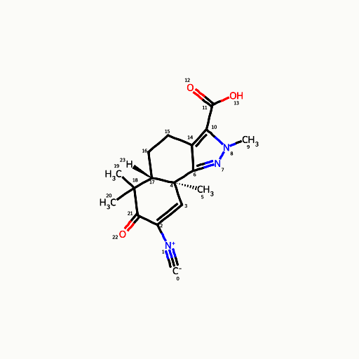 [C-]#[N+]C1=C[C@]2(C)c3nn(C)c(C(=O)O)c3CC[C@H]2C(C)(C)C1=O